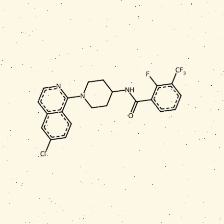 O=C(NC1CCN(c2nccc3cc(Cl)ccc23)CC1)c1cccc(C(F)(F)F)c1F